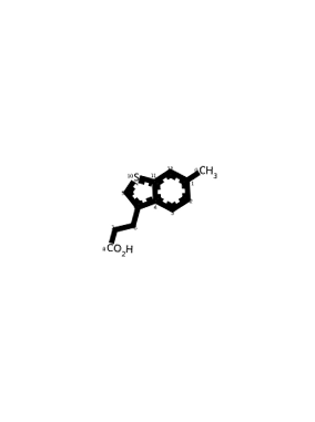 Cc1ccc2c(CCC(=O)O)csc2c1